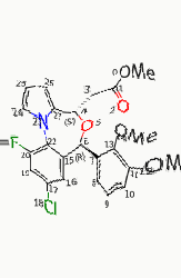 COC(=O)C[C@@H]1O[C@@H](c2cccc(OC)c2OC)c2cc(Cl)cc(F)c2-n2cccc21